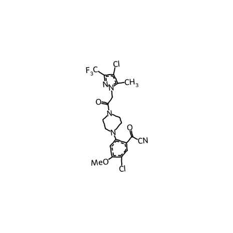 COc1cc(N2CCN(C(=O)Cn3nc(C(F)(F)F)c(Cl)c3C)CC2)c(C(=O)C#N)cc1Cl